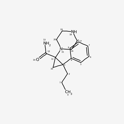 CCCC1(c2ccccc2)CC1(C(N)=O)N1CCNCC1